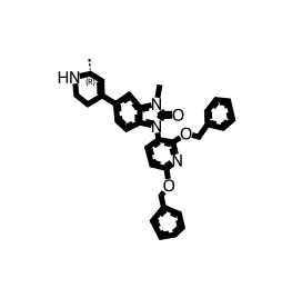 C[C@@H]1C=C(c2ccc3c(c2)n(C)c(=O)n3-c2ccc(OCc3ccccc3)nc2OCc2ccccc2)CCN1